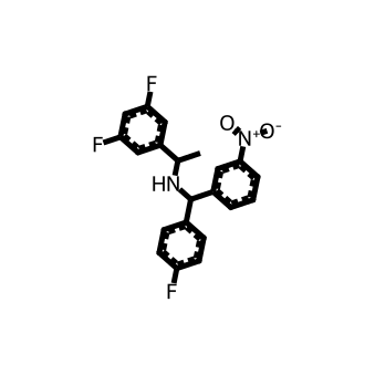 CC(NC(c1ccc(F)cc1)c1cccc([N+](=O)[O-])c1)c1cc(F)cc(F)c1